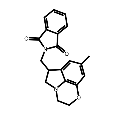 O=C1c2ccccc2C(=O)N1CC1CN2CCOc3cc(I)cc1c32